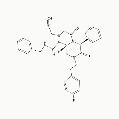 C#CCN1CC(=O)N2[C@@H](c3ccccc3)C(=O)N(CCc3ccc(F)cc3)C[C@@H]2N1C(=O)NCc1ccccc1